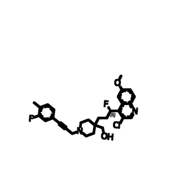 COc1ccc2ncc(Cl)c([C@H](F)CCC3(CO)CCN(CC#Cc4ccc(C)c(F)c4)CC3)c2c1